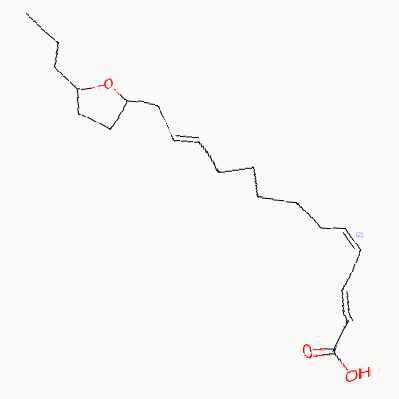 CCCC1CCC(CC=CCCCCC/C=C\C=CC(=O)O)O1